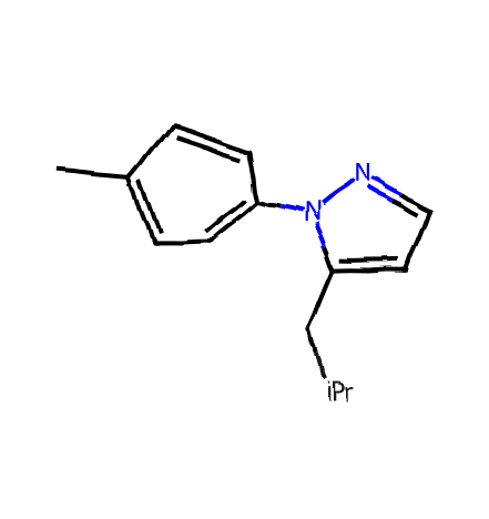 Cc1ccc(-n2nccc2CC(C)C)cc1